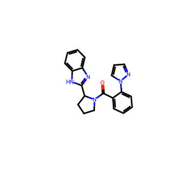 O=C(c1ccccc1-n1cccn1)N1CCCC1c1nc2ccccc2[nH]1